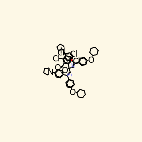 O=C1OC(/C=C(/c2ccc(OC3CCCCC3)cc2)c2ccc(N3CCCC3)cc2)(/C=C(/c2ccc(OC3CCCCC3)cc2)c2ccc(N3CCCC3)cc2)c2c(Cl)c(Cl)c(Cl)c(Cl)c21